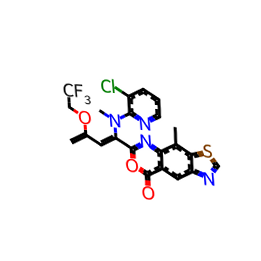 C=C(/C=C(/c1nc2c(C)c3scnc3cc2c(=O)o1)N(C)c1ncccc1Cl)OCC(F)(F)F